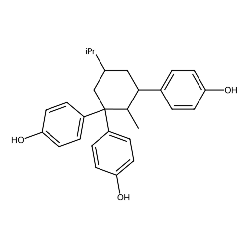 CC(C)C1CC(c2ccc(O)cc2)C(C)C(c2ccc(O)cc2)(c2ccc(O)cc2)C1